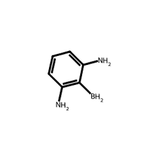 Bc1c(N)cccc1N